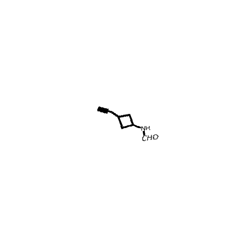 C#CC1CC(NC=O)C1